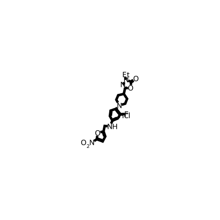 CCn1nc(C2CCN(c3ccc(NCc4ccc([N+](=O)[O-])o4)cc3F)CC2)oc1=O.Cl